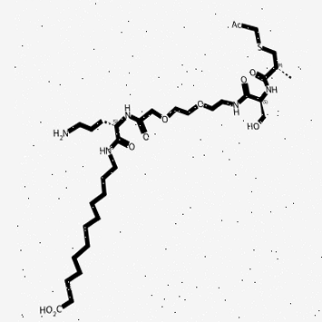 CC(=O)CSC[C@H](C)C(=O)N[C@@H](CO)C(=O)NCCOCCOCC(=O)N[C@@H](CCCN)C(=O)NCCCCCCCCCCCC(=O)O